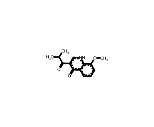 COc1cccc2c(=O)c(C(=O)C(C)C)c[nH]c12